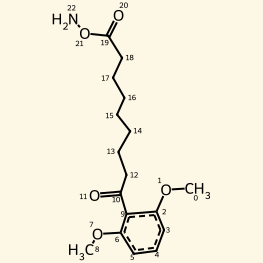 COc1cccc(OC)c1C(=O)CCCCCCCC(=O)ON